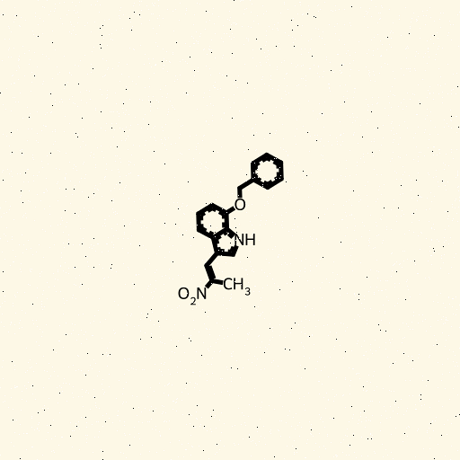 CC(=Cc1c[nH]c2c(OCc3ccccc3)cccc12)[N+](=O)[O-]